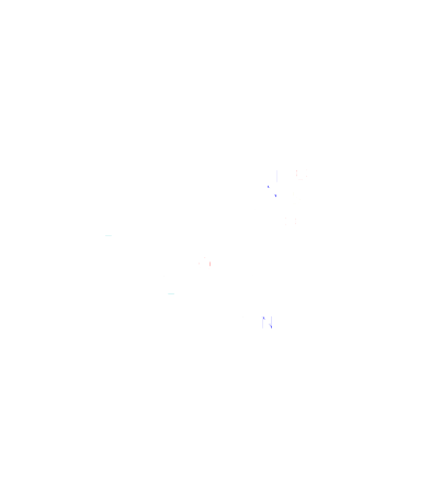 Cc1cc(-c2cc(NS(=O)(=O)C(C)C)ccc2Oc2ccc(F)cc2F)cc(C)n1